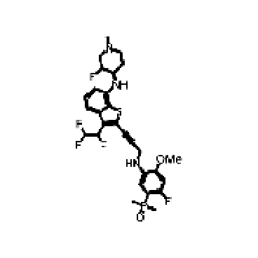 COc1cc(F)c(P(C)(C)=O)cc1NCC#Cc1sc2c(NC3CCN(C)CC3F)cccc2c1C(F)C(F)F